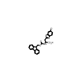 O=C(NC(Cc1nc2ccc(Cl)cc2s1)C(=O)O)OCC1c2ccccc2-c2ccccc21